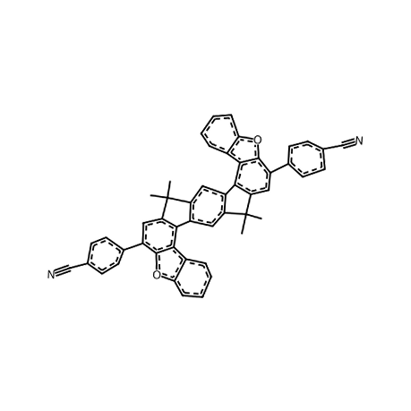 CC1(C)c2cc3c(cc2-c2c1cc(-c1ccc(C#N)cc1)c1oc4ccccc4c21)C(C)(C)c1cc(-c2ccc(C#N)cc2)c2oc4ccccc4c2c1-3